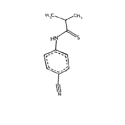 CC(C)C(=S)Nc1ccc(C#N)cc1